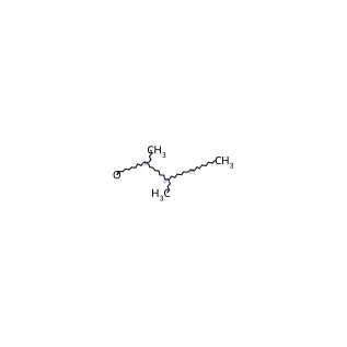 CCCCCCCC/C=C/CCCCCC/C(=C\CCCCCC/C(=C\CCCCCCCC=O)CCCC)CCCC